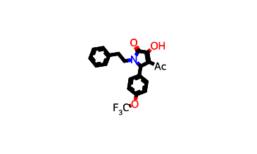 CC(=O)C1=C(O)C(=O)N(CCc2ccccc2)C1c1ccc(OC(F)(F)F)cc1